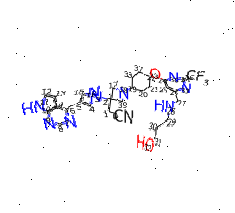 N#CCC1(n2cc(-c3ncnc4[nH]ccc34)cn2)CN(C2CCC(Oc3cc(CNCCCO)nc(C(F)(F)F)n3)CC2)C1